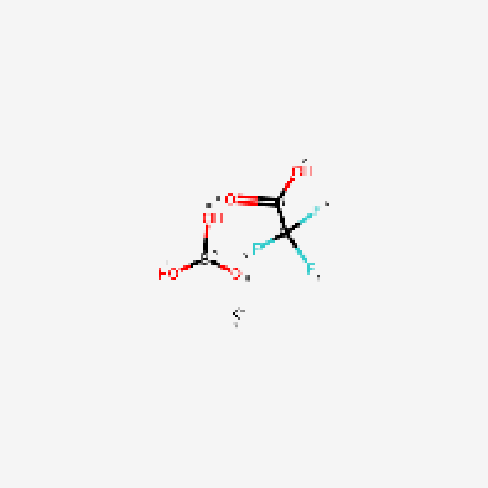 O=C(O)C(F)(F)F.[K+].[O-]B(O)O